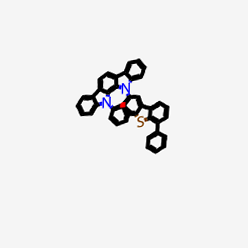 c1ccc(-c2cccc3c2sc2ccc(-n4c5ccccc5c5ccc6c7ccccc7n(-c7ccccc7)c6c54)cc23)cc1